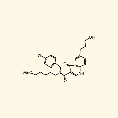 COCCOCCN(Cc1ccc(Cl)cc1)C(=O)c1c[nH]c2ccc(CCCO)cc2c1=O